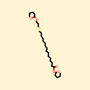 O=C(CCCCCCCCCCCCCCCSCCCOC1CCCCO1)OC1CCCCO1